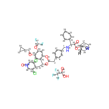 O=C(Cc1ccc(CNC(C(=O)O[C@H]2CN3CCC2CC3)c2ccccc2)cc1)OC(Cc1c(Cl)c[n+]([O-])cc1Cl)c1ccc(OC(F)F)c(OCC2CC2)c1.O=C(O)C(F)(F)F